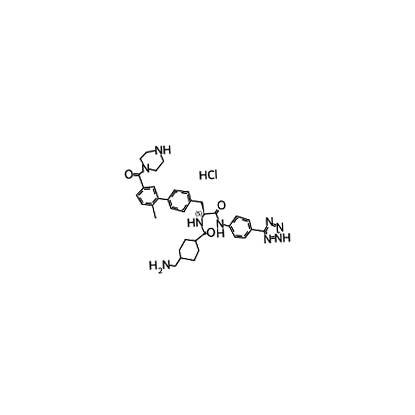 Cc1ccc(C(=O)N2CCNCC2)cc1-c1ccc(C[C@H](NC(=O)C2CCC(CN)CC2)C(=O)Nc2ccc(-c3nn[nH]n3)cc2)cc1.Cl